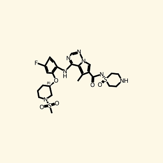 Cc1c(C(=O)N=S2(=O)CCNCC2)cn2ncnc(Nc3ccc(F)cc3O[C@@H]3CCCN(S(C)(=O)=O)C3)c12